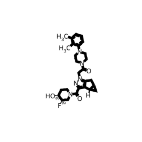 Cc1cccc(N2CCN(C(=O)Cn3nc(C(=O)N4CC[C@@H](O)[C@@H](F)C4)c4c3CC3C[C@H]43)CC2)c1C